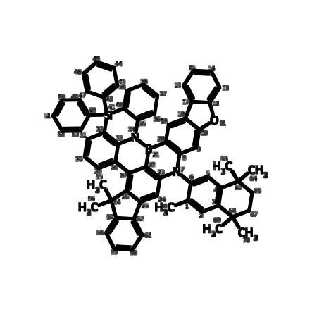 Cc1cc2c(cc1N1c3cc4oc5ccccc5c4cc3B3c4c1cc1c(c4-c4cccc5c4N3c3ccccc3[Si]5(c3ccccc3)c3ccccc3)C(C)(C)c3ccccc3-1)C(C)(C)CCC2(C)C